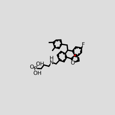 Cc1ccc(CC(c2cccc(F)c2)c2ccc(CNCCCP(=O)(O)O)cc2-c2ccco2)cc1C